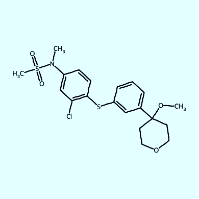 COC1(c2cccc(Sc3ccc(N(C)S(C)(=O)=O)cc3Cl)c2)CCOCC1